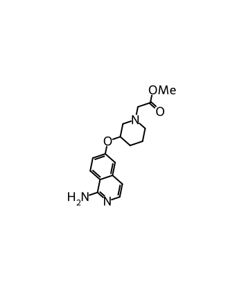 COC(=O)CN1CCCC(Oc2ccc3c(N)nccc3c2)C1